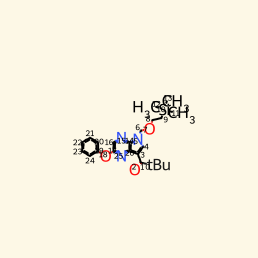 CC(C)(C)C(=O)c1cn(COCC[Si](C)(C)C)c2ncc(Oc3ccccc3)nc12